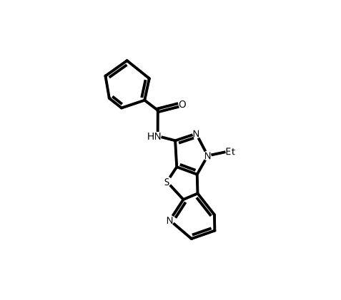 CCn1nc(NC(=O)c2ccccc2)c2sc3ncccc3c21